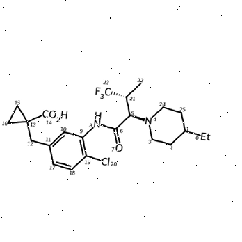 CCC1CCN([C@@H](C(=O)Nc2cc(CC3(C(=O)O)CC3)ccc2Cl)[C@@H](C)C(F)(F)F)CC1